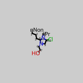 CCCCCCCCCCCCC1N(CCO)CC(Cl)N1CCC